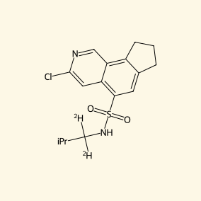 [2H]C([2H])(NS(=O)(=O)c1cc2c(c3cnc(Cl)cc13)CCC2)C(C)C